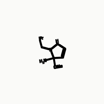 COC1(N)C=CNN1CC(C)C